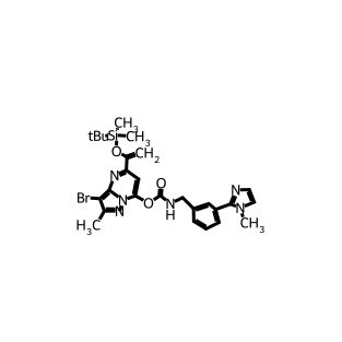 C=C(O[Si](C)(C)C(C)(C)C)c1cc(OC(=O)NCc2cccc(-c3nccn3C)c2)n2nc(C)c(Br)c2n1